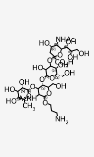 CC(=O)NC1C(O[C@@H]2OC(C)[C@@H](O)C(O)[C@@H]2O)[C@H](O[C@@H]2O[C@@H](CO)[C@H](O)C(O[C@]3(C(=O)O)C[C@@H](O)[C@@H](NC(C)=O)C([C@H](O)[C@H](O)CO)O3)C2O)C(CO)O[C@H]1OCCCN